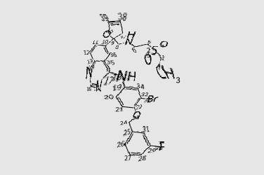 CCS(=O)(=O)CCNCC1(c2ccc3ncnc(Nc4ccc(OCc5cccc(F)c5)c(Br)c4)c3c2)CC=CO1